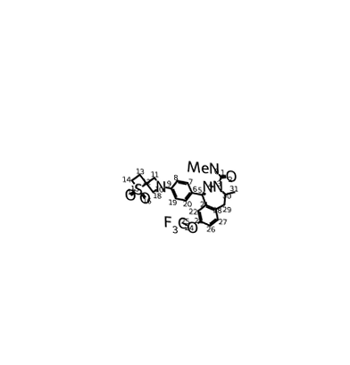 CNC(=O)N1N=C(c2ccc(N3CC4(CCS4(=O)=O)C3)cc2)c2cc(OC(F)(F)F)ccc2CC1C